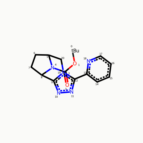 CC(C)(C)OC(=O)N1C2CCC1c1nnc(-c3ccccn3)n1C2